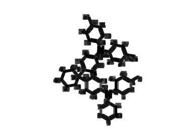 Cc1ccc(N(C2=CC=C=C=C2)c2ccc(C3(c4ccc(N(c5ccc(C)cc5)c5ccc(C)cc5)cc4)CCCCC3)cc2)cc1